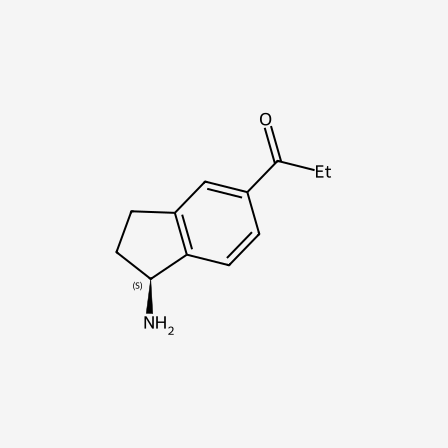 CCC(=O)c1ccc2c(c1)CC[C@@H]2N